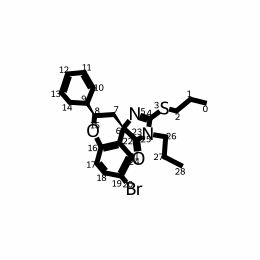 CCCSC1=N[C@]2(C[C@H](C3C=CC=CC3)Oc3ccc(Br)cc32)C(=O)N1CCC